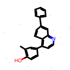 Cc1cc(-c2ccnc3cc(-c4ccccc4)ccc23)ccc1O